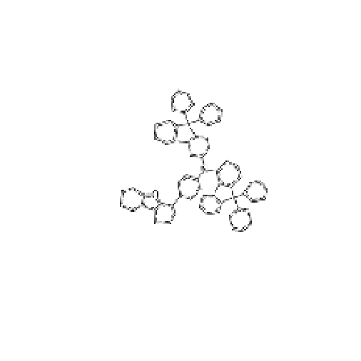 c1ccc(C2(c3ccccc3)c3ccccc3-c3cc(N(c4ccc(-c5cccc6c5oc5ccccc56)cc4)c4cccc5c4-c4ccccc4C5(c4ccccc4)c4ccccc4)ccc32)cc1